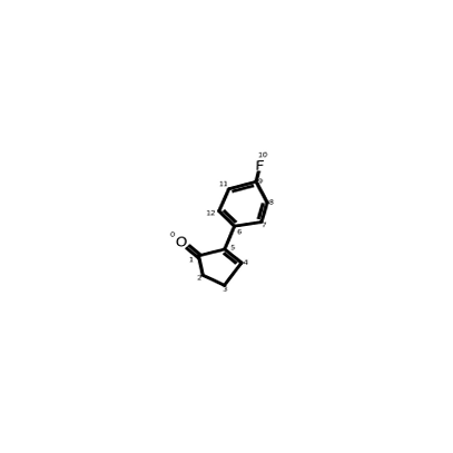 O=C1CCC=C1c1ccc(F)cc1